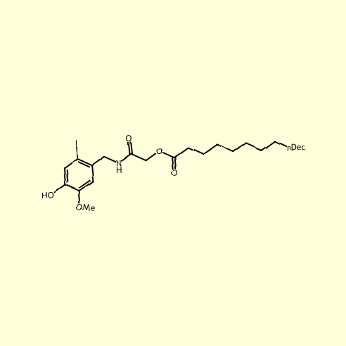 CCCCCCCCCCCCCCCCCC(=O)OCC(=O)NCc1cc(OC)c(O)cc1I